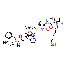 CC[C@H](C)[C@@H]([C@@H](CC(=O)N1CCC[C@H]1[C@H](OC)[C@@H](C)C(=O)N[C@@H](Cc1ccccc1)C(=O)O)OC)N(C)C(=O)[C@@H](NC(=O)[C@@H]1[C@H]2CC[C@@H](C2)N1CCCCCCS)C(C)C